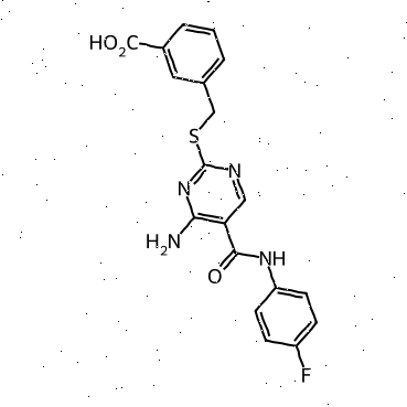 Nc1nc(SCc2cccc(C(=O)O)c2)ncc1C(=O)Nc1ccc(F)cc1